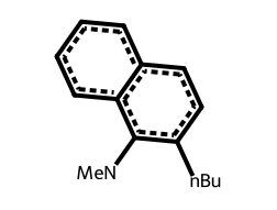 CCCCc1ccc2ccccc2c1NC